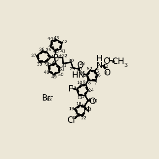 COC(=O)Nc1ccc(-c2cc(F)cc(C(=O)c3ccc(Cl)cn3)c2)c(NC(=O)CCCC[P+](c2ccccc2)(c2ccccc2)c2ccccc2)c1.[Br-]